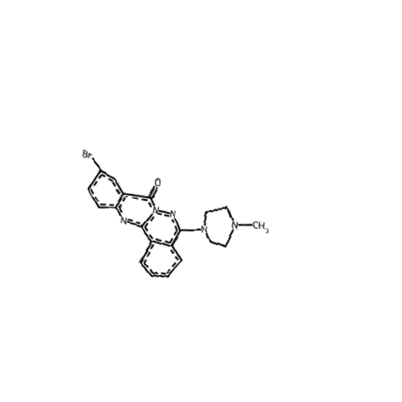 CN1CCN(c2nn3c(=O)c4cc(Br)ccc4nc3c3ccccc23)CC1